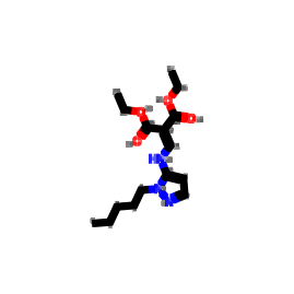 CCCCCn1nccc1NC=C(C(=O)OCC)C(=O)OCC